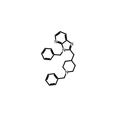 c1ccc(CN2CCC(Cc3nc4cccnc4n3Cc3ccccc3)CC2)cc1